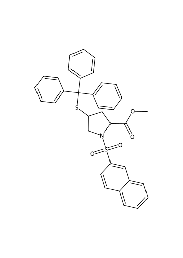 COC(=O)C1CC(SC(c2ccccc2)(c2ccccc2)c2ccccc2)CN1S(=O)(=O)c1ccc2ccccc2c1